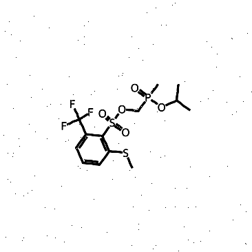 CSc1cccc(C(F)(F)F)c1S(=O)(=O)OCP(C)(=O)OC(C)C